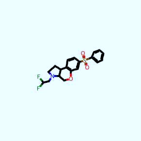 O=S(=O)(c1ccccc1)c1ccc2c(c1)OCC1C2CCN1CC(F)F